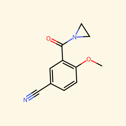 COc1ccc(C#N)cc1C(=O)N1CC1